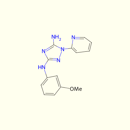 COc1cccc(Nc2nc(N)n(-c3ccccn3)n2)c1